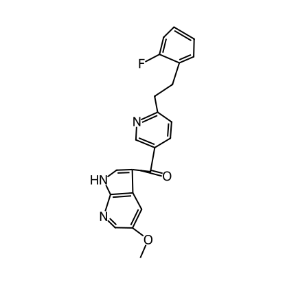 COc1cnc2[nH]cc(C(=O)c3ccc(CCc4ccccc4F)nc3)c2c1